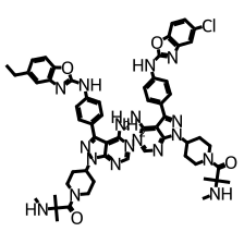 CCc1ccc2oc(Nc3ccc(-c4nn(C5CCN(C(=O)C(C)(C)NC)CC5)c5ncnc(N)c45)cc3)nc2c1.CNC(C)(C)C(=O)N1CCC(n2nc(-c3ccc(Nc4nc5cc(Cl)ccc5o4)cc3)c3c(N)ncnc32)CC1